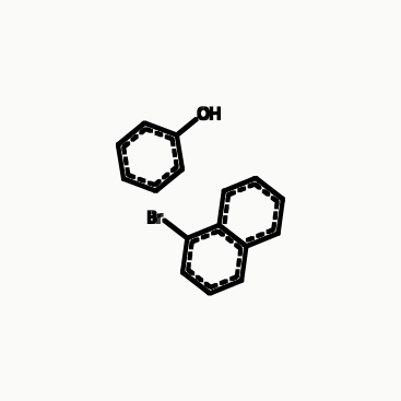 Brc1cccc2ccccc12.Oc1ccccc1